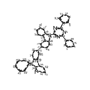 c1ccc(-c2nc(-c3ccccc3)nc(-n3c4ccccc4c4cc(-c5ccc6c(c5)c5cccnc5n6-c5ccccc5)ccc43)n2)cc1